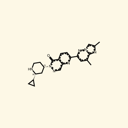 Cc1cn2nc(-c3ccc4c(=O)n([C@H]5CCN[C@@H](C6CC6)C5)ncc4n3)cc(C)c2n1